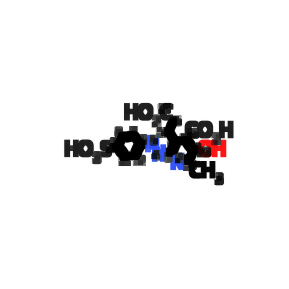 Cc1nc(N=Nc2ccc(S(=O)(=O)O)cc2)c(CCC(=O)O)c(C(=O)O)c1O